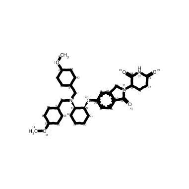 COC1CCC(CN(CC2CCC(OC)CC2)[C@@H]2CCCC[C@@H]2Oc2ccc3c(c2)CN(C2CCC(=O)NC2=O)C3=O)CC1